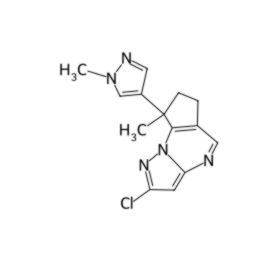 Cn1cc(C2(C)CCc3cnc4cc(Cl)nn4c32)cn1